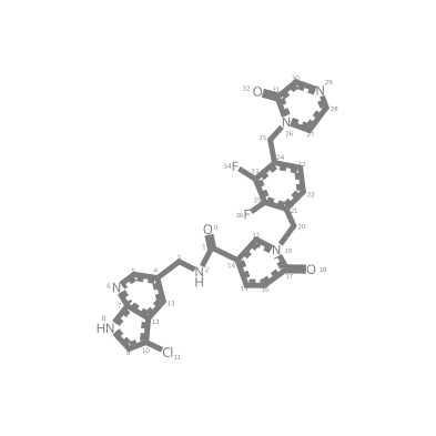 O=C(NCc1cnc2[nH]cc(Cl)c2c1)c1ccc(=O)n(Cc2ccc(Cn3ccncc3=O)c(F)c2F)c1